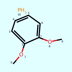 COc1ccccc1OC.P